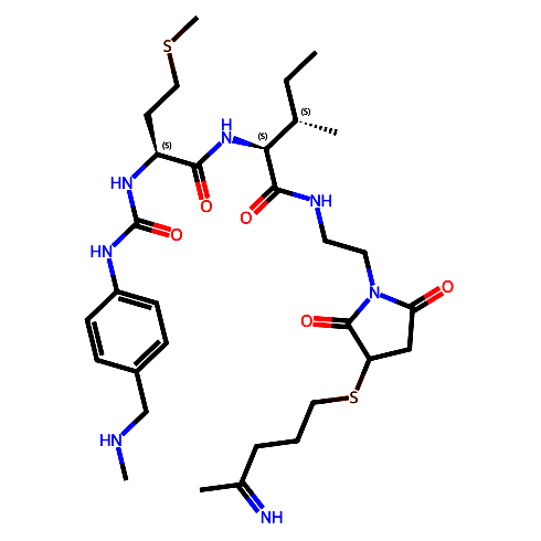 CC[C@H](C)[C@H](NC(=O)[C@H](CCSC)NC(=O)Nc1ccc(CNC)cc1)C(=O)NCCN1C(=O)CC(SCCCC(C)=N)C1=O